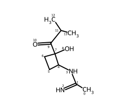 CC(=N)NC1CCC1(O)C(=O)C(C)C